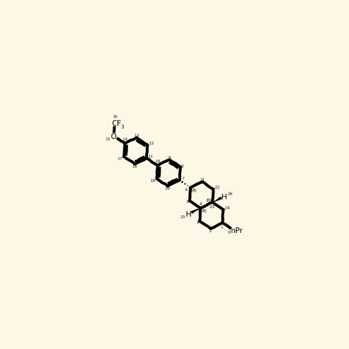 CCCC1CC[C@@H]2C[C@H](c3ccc(-c4ccc(OC(F)(F)F)cc4)cc3)CC[C@@H]2C1